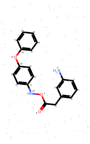 Nc1cccc(CC(=O)ONc2ccc(Oc3ccccc3)cc2)c1